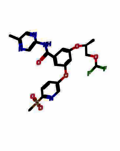 Cc1cnc(NC(=O)c2cc(Oc3ccc(S(C)(=O)=O)nc3)cc(O[C@@H](C)COC(F)F)c2)cn1